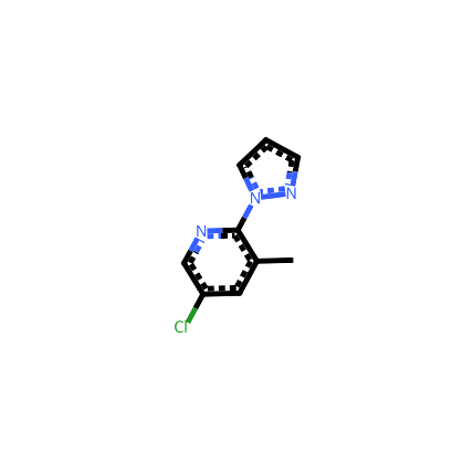 Cc1cc(Cl)cnc1-n1cccn1